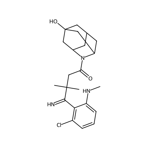 CNc1cccc(Cl)c1C(=N)C(C)(C)CC(=O)N1C2CC3CC1CC(O)(C3)C2